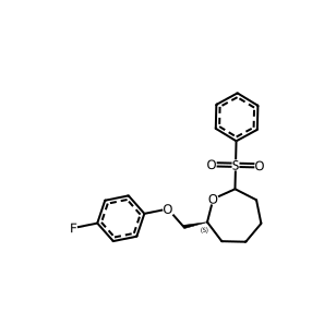 O=S(=O)(c1ccccc1)C1CCCC[C@@H](COc2ccc(F)cc2)O1